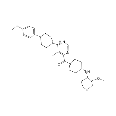 C=C(/C(C)=C(\N=C/N)C(=O)N1CCC(NC2CCOCC2OC)CC1)N1CCC(c2ccc(OC)cc2)CC1